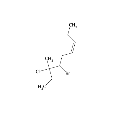 CC/C=C\CC(Br)C(C)(Cl)CC